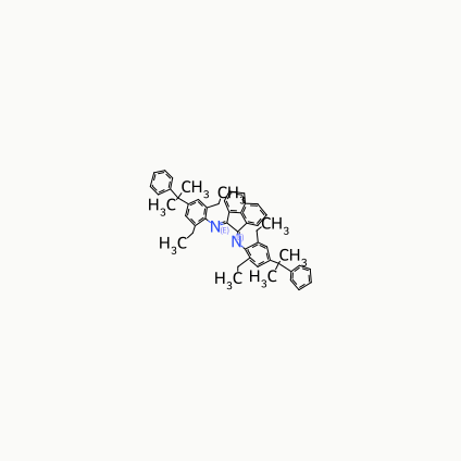 CCc1cc(C(C)(C)c2ccccc2)cc(CC)c1/N=C1/C(=N/c2c(CC)cc(C(C)(C)c3ccccc3)cc2CC)c2cccc3cccc1c23